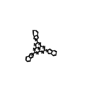 c1ccc2cn(C3=NC4=NC(n5cc6ccccc6c5)=NC5=NC(n6cc7ccccc7c6)=NC(=N3)N45)cc2c1